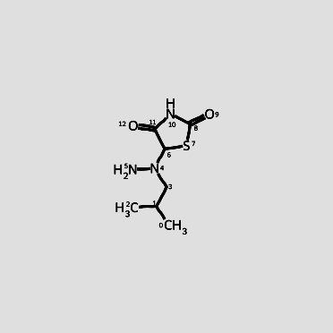 CC(C)CN(N)C1SC(=O)NC1=O